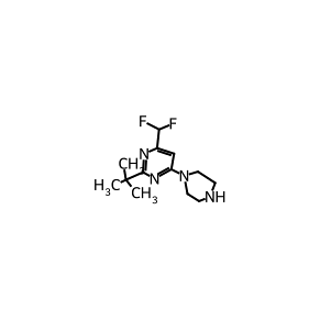 CC(C)(C)c1nc(C(F)F)cc(N2CCNCC2)n1